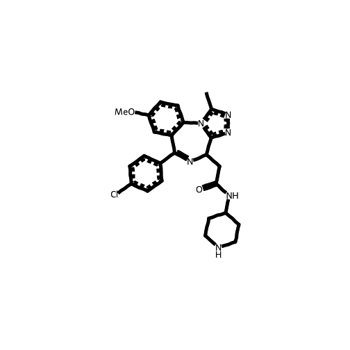 COc1ccc2c(c1)C(c1ccc(Cl)cc1)=NC(CC(=O)NC1CCNCC1)c1nnc(C)n1-2